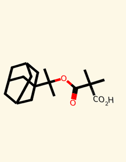 CC(C)(C(=O)O)C(=O)OC(C)(C)C12CC3CC(CC(C3)C1)C2